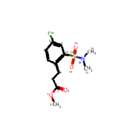 COC(=O)CCc1ccc(F)cc1S(=O)(=O)N(C)C